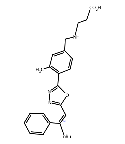 CCCC/C(=C/c1nnc(-c2ccc(CNCCC(=O)O)cc2C)o1)c1ccccc1